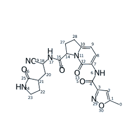 Cc1cc(C(=O)Nc2ccc3n(c2=O)C(C(=O)NC(C#N)CC2CCNC2=O)CC3)no1